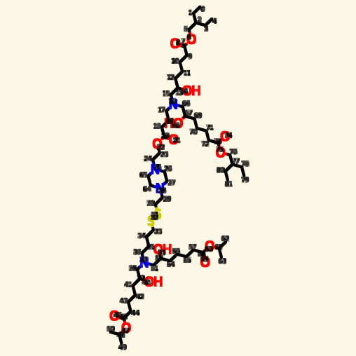 CCC(CC)COC(=O)CCCCC(O)CN(CCCC(=O)OCCN1CCN(CCSSCCCCN(CC(O)CCCCC(=O)OC(C)C)CC(O)CCCCC(=O)OC(C)C)CC1)CC(O)CCCCC(=O)OCC(CC)CC